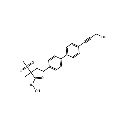 CC(CCc1ccc(-c2ccc(C#CCO)cc2)cc1)(C(=O)NO)S(C)(=O)=O